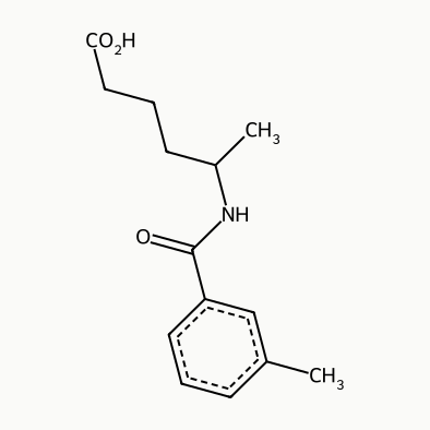 Cc1cccc(C(=O)NC(C)CCCC(=O)O)c1